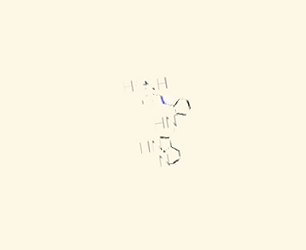 O=C(/C=C/c1ccccc1NCc1c[nH]c2ncccc12)NO